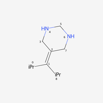 CC(C)C(=C1CNCNC1)C(C)C